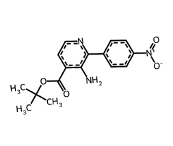 CC(C)(C)OC(=O)c1ccnc(-c2ccc([N+](=O)[O-])cc2)c1N